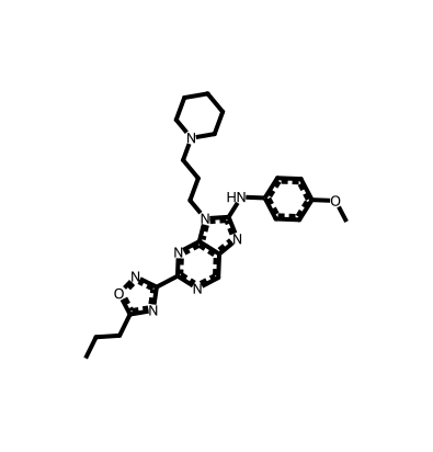 CCCc1nc(-c2ncc3nc(Nc4ccc(OC)cc4)n(CCCN4CCCCC4)c3n2)no1